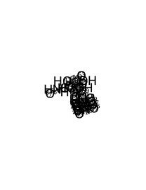 COCCNCCOC.COCCNCCOC.COCCNCCOC.COCCNCCOC.COCCNCCOC.O=C(O)c1ccc(C(=O)O)c(C(=O)O)c1C(=O)O.O=C(O)c1ccccc1Cl